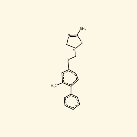 Cc1cc(OC[C@@H]2CN=C(N)O2)ccc1-c1ccccc1